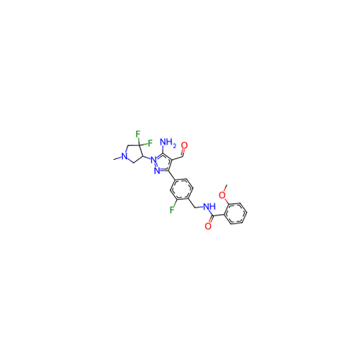 COc1ccccc1C(=O)NCc1ccc(-c2nn(C3CN(C)CC3(F)F)c(N)c2C=O)cc1F